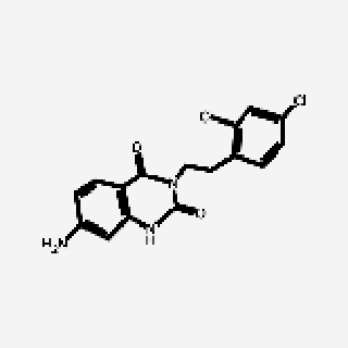 Nc1ccc2c(=O)n(CCc3ccc(Cl)cc3Cl)c(=O)[nH]c2c1